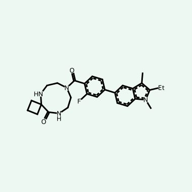 CCc1c(C)c2cc(-c3ccc(C(=O)N4CCNC(=O)C5(CCC5)NCC4)c(F)c3)ccc2n1C